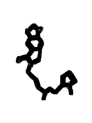 CN(CCCN1Cc2cc3c(cc2C1=O)OCO3)CCc1cccn1C